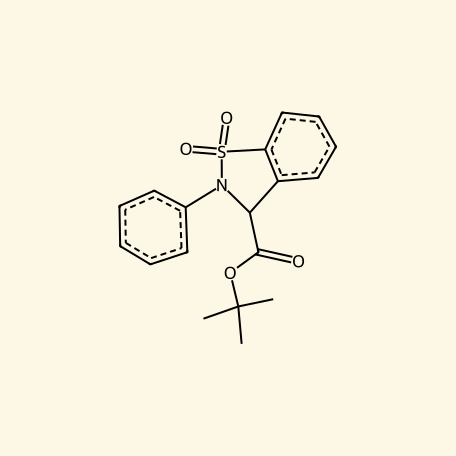 CC(C)(C)OC(=O)C1c2ccccc2S(=O)(=O)N1c1ccccc1